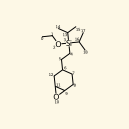 CCO[Si](CCC1CCC2OC2C1)(C(C)C)C(C)C